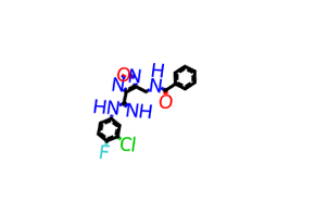 N=C(Nc1ccc(F)c(Cl)c1)c1nonc1CNC(=O)c1ccccc1